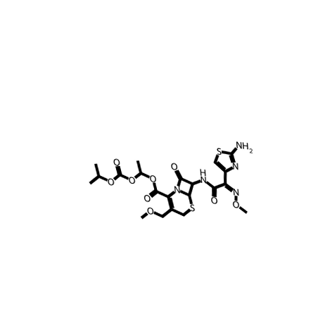 COCC1=C(C(=O)OC(C)OC(=O)OC(C)C)N2C(=O)C(NC(=O)/C(=N\OC)c3csc(N)n3)C2SC1